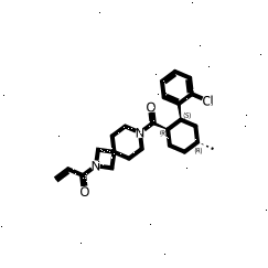 C=CC(=O)N1CC2(CCN(C(=O)[C@@H]3CC[C@@H](C)C[C@@H]3c3ccccc3Cl)CC2)C1